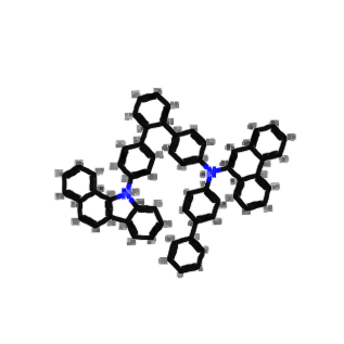 c1ccc(-c2ccc(N(c3ccc(-c4ccccc4-c4ccc(-n5c6ccccc6c6ccc7ccccc7c65)cc4)cc3)c3cc4ccccc4c4ccccc34)cc2)cc1